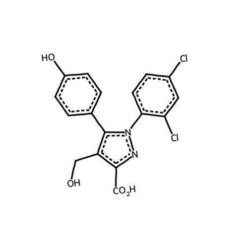 O=C(O)c1nn(-c2ccc(Cl)cc2Cl)c(-c2ccc(O)cc2)c1CO